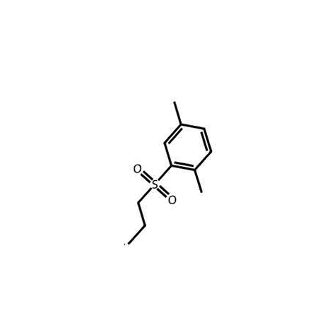 [CH2]CCS(=O)(=O)c1cc(C)ccc1C